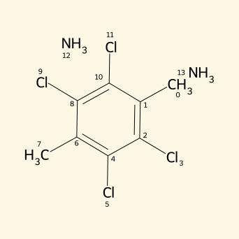 Cc1c(Cl)c(Cl)c(C)c(Cl)c1Cl.N.N